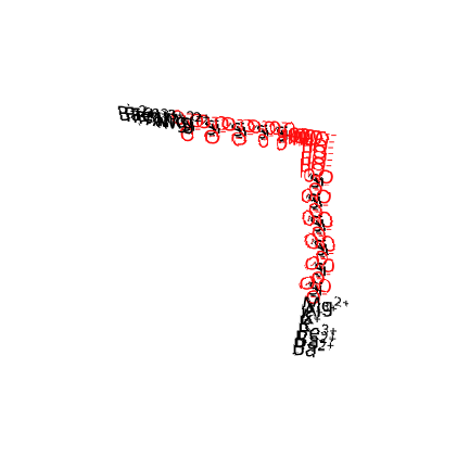 O=[Si]([O-])[O-].O=[Si]([O-])[O-].O=[Si]([O-])[O-].O=[Si]([O-])[O-].O=[Si]([O-])[O-].O=[Si]([O-])[O-].O=[Si]([O-])[O-].O=[Si]([O-])[O-].O=[Si]([O-])[O-].O=[Si]([O-])[O-].O=[Si]([O-])[O-].[Al+3].[Al+3].[Al+3].[Ba+2].[Ba+2].[Ba+2].[Fe+3].[Fe+3].[Fe+3].[K+].[K+].[K+].[Mg+2].[Mg+2].[Mg+2].[OH-].[OH-].[OH-].[OH-].[OH-].[OH-].[OH-].[OH-].[OH-].[OH-].[OH-]